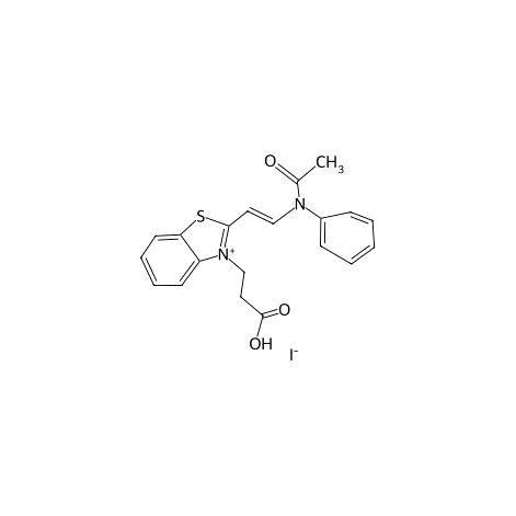 CC(=O)N(C=Cc1sc2ccccc2[n+]1CCC(=O)O)c1ccccc1.[I-]